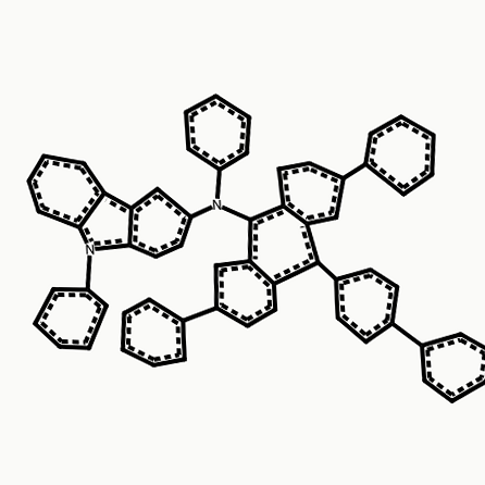 c1ccc(-c2ccc(-c3c4cc(-c5ccccc5)ccc4c(N(c4ccccc4)c4ccc5c(c4)c4ccccc4n5-c4ccccc4)c4cc(-c5ccccc5)ccc34)cc2)cc1